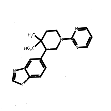 CC1(C(=O)O)CCN(c2ncccn2)CC1c1ccc2scnc2c1